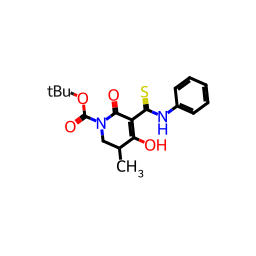 CC1CN(C(=O)OC(C)(C)C)C(=O)C(C(=S)Nc2ccccc2)=C1O